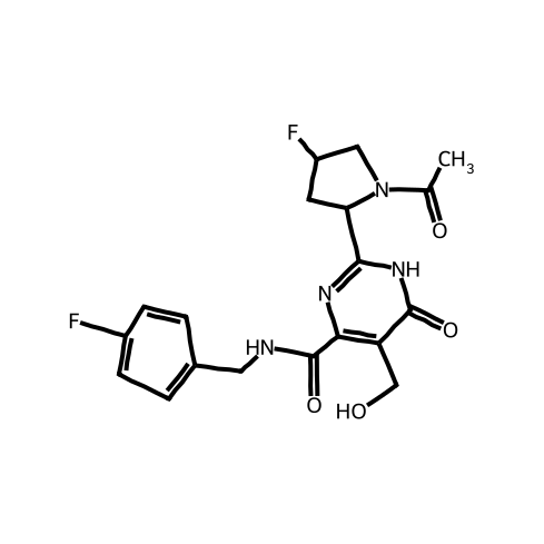 CC(=O)N1CC(F)CC1c1nc(C(=O)NCc2ccc(F)cc2)c(CO)c(=O)[nH]1